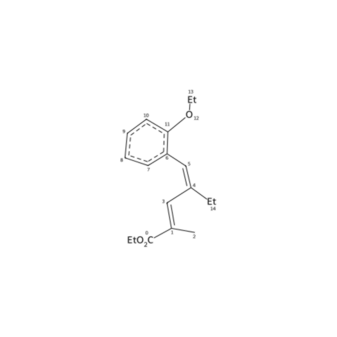 CCOC(=O)C(C)=CC(=Cc1ccccc1OCC)CC